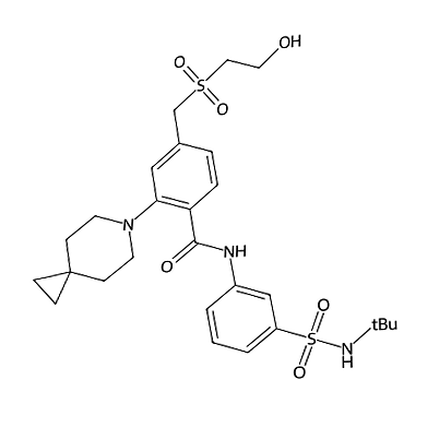 CC(C)(C)NS(=O)(=O)c1cccc(NC(=O)c2ccc(CS(=O)(=O)CCO)cc2N2CCC3(CC2)CC3)c1